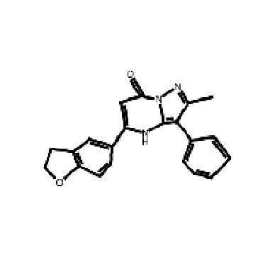 Cc1nn2c(=O)cc(-c3ccc4c(c3)CCO4)[nH]c2c1-c1ccccc1